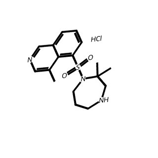 Cc1cncc2cccc(S(=O)(=O)N3CCCNCC3(C)C)c12.Cl